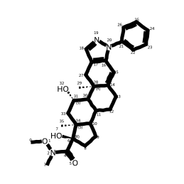 CON(C)C(=O)[C@@]1(O)CCC2C3CCC4=Cc5c(cnn5-c5ccccc5)C[C@]4(C)C3[C@@H](O)C[C@@]21C